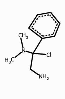 CN(C)C(Cl)(CN)c1ccccc1